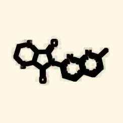 Cc1ccc2ccc(N3C(=O)C4SCCSC4C3=O)nc2n1